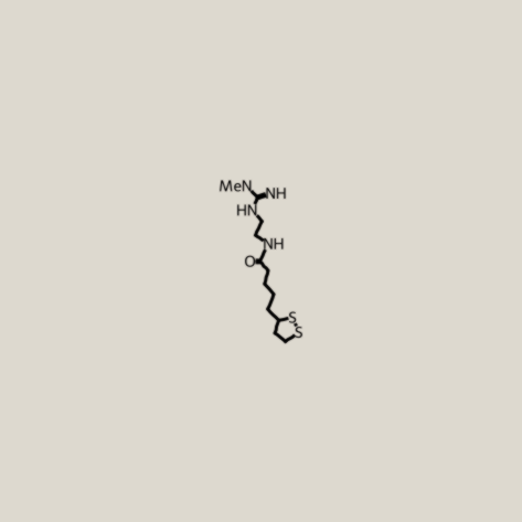 CNC(=N)NCCNC(=O)CCCCC1CCSS1